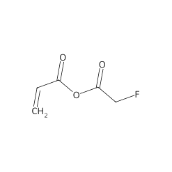 C=CC(=O)OC(=O)CF